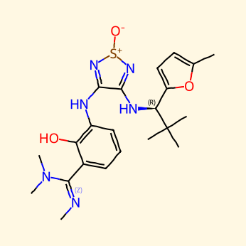 C/N=C(/c1cccc(Nc2n[s+]([O-])nc2N[C@@H](c2ccc(C)o2)C(C)(C)C)c1O)N(C)C